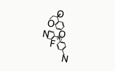 N#Cc1ccc([C@@H](Oc2ccc3c(c2)OCCC3=O)c2ccncc2F)cc1